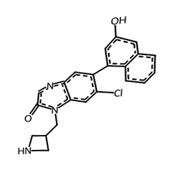 O=c1cnc2cc(-c3cc(O)cc4ccccc34)c(Cl)cc2n1CC1CNC1